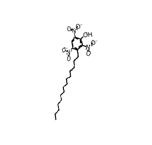 CCCCCCCCCCCCCCCc1c([N+](=O)[O-])cc([N+](=O)[O-])c(O)c1[N+](=O)[O-]